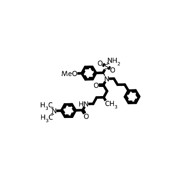 COc1ccc([C@@H](N(CCCc2ccccc2)C(=O)CC(C)CCNC(=O)c2ccc(N(C)C)cc2)S(N)(=O)=O)cc1